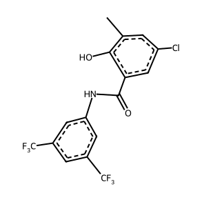 Cc1cc(Cl)cc(C(=O)Nc2cc(C(F)(F)F)cc(C(F)(F)F)c2)c1O